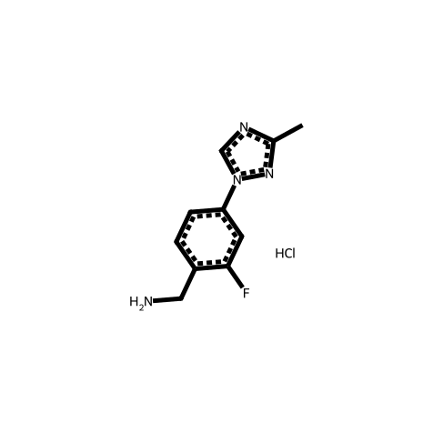 Cc1ncn(-c2ccc(CN)c(F)c2)n1.Cl